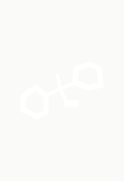 CC(C=O)(c1ccccc1)c1ccccc1